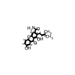 CC(C)=CCc1c(C(N)=O)cc2oc3ccc(O)cc3c(=O)c2c1O